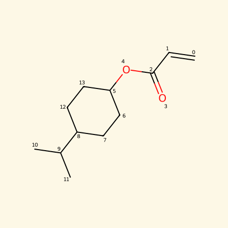 C=CC(=O)OC1CCC(C(C)C)CC1